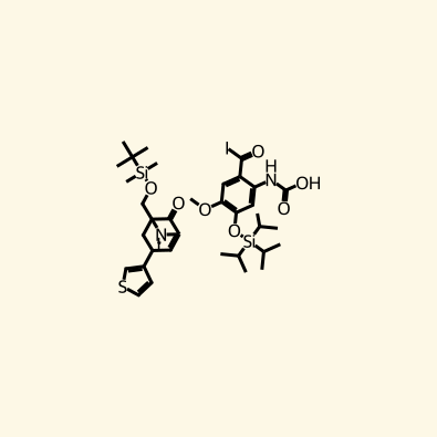 CC(C)(C)[Si](C)(C)OCC12CC(c3ccsc3)C=C(C1=O)N2I.COc1cc(C(=O)I)c(NC(=O)O)cc1O[Si](C(C)C)(C(C)C)C(C)C